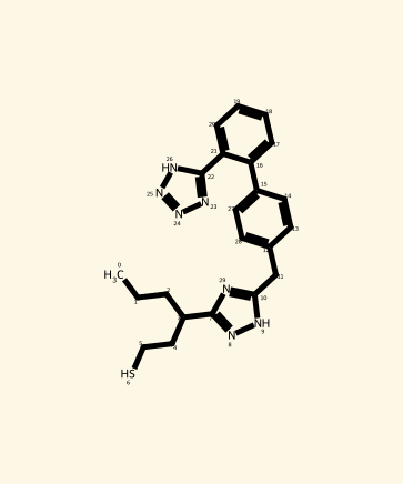 CCCC(CCS)c1n[nH]c(Cc2ccc(-c3ccccc3-c3nnn[nH]3)cc2)n1